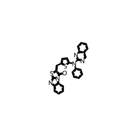 O=c1/c(=C\c2ccc(N(c3ccccc3)c3ncc4ccccc4n3)s2)sc2nc3ccccc3n12